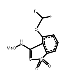 CONC1=NS(=O)(=O)c2cccc(OC(F)F)c21